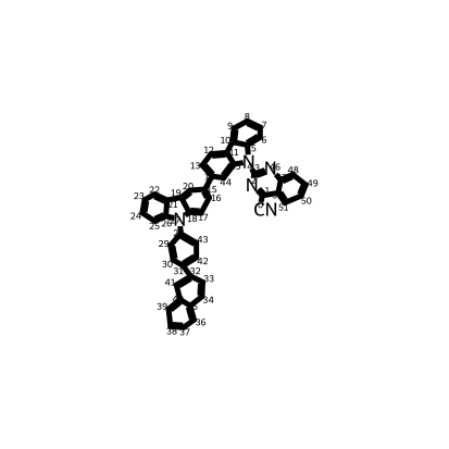 N#Cc1nc(-n2c3ccccc3c3ccc(-c4ccc5c(c4)c4ccccc4n5-c4ccc(-c5ccc6ccccc6c5)cc4)cc32)nc2ccccc12